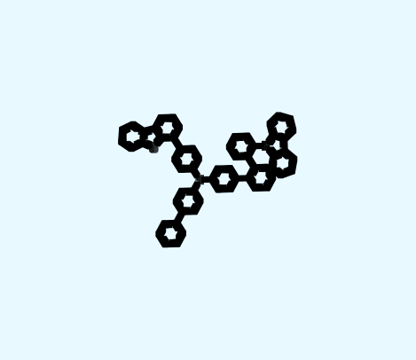 c1ccc(-c2ccc(N(c3ccc(-c4ccccc4-c4ccccc4-n4c5ccccc5c5ccccc54)cc3)c3ccc(-c4cccc5c4oc4ccccc45)cc3)cc2)cc1